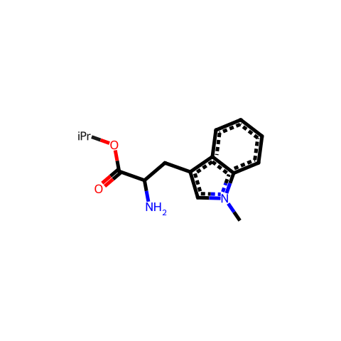 CC(C)OC(=O)C(N)Cc1cn(C)c2ccccc12